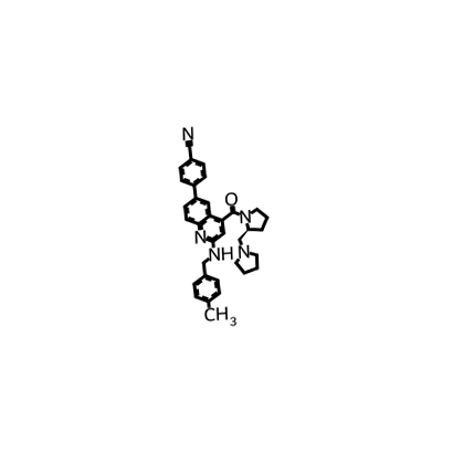 Cc1ccc(CNc2cc(C(=O)N3CCC[C@H]3CN3CCCC3)c3cc(-c4ccc(C#N)cc4)ccc3n2)cc1